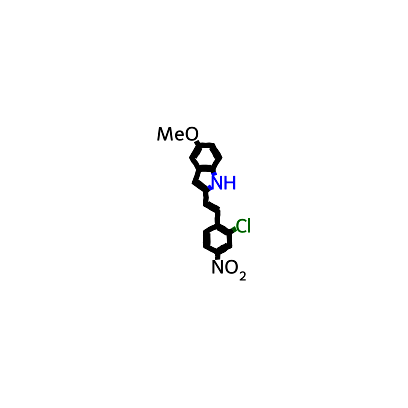 COc1ccc2[nH]c(/C=C/c3ccc([N+](=O)[O-])cc3Cl)cc2c1